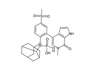 Cn1cc(-c2cc(S(C)(=O)=O)ccc2OC23CC4CC(C2)C(OP(=O)(O)O)C(C4)C3)c2cc[nH]c2c1=O